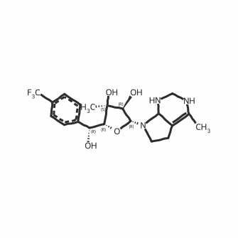 CC1=C2CCN([C@@H]3O[C@H]([C@H](O)c4ccc(C(F)(F)F)cc4)[C@@](C)(O)[C@H]3O)C2NCN1